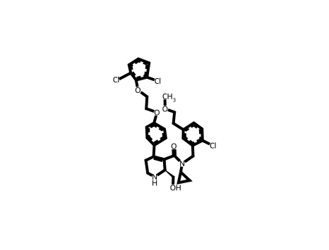 COCCc1ccc(Cl)c(CN(C(=O)C2=C(c3ccc(OCCOc4c(Cl)cccc4Cl)cc3)CCN[C@@H]2CO)C2CC2)c1